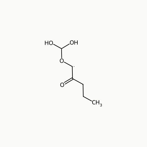 CCCC(=O)[CH]OC(O)O